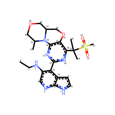 CCNc1cnc2[nH]ccc2c1-c1nc2c(c(C(C)(C)S(C)(=O)=O)n1)OCC1COCC(C)N21